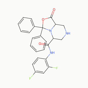 O=C(Nc1ccc(F)cc1F)C1CNCC2C(=O)OC(c3ccccc3)(c3ccccc3)N12